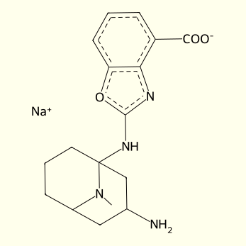 CN1C2CCCC1(Nc1nc3c(C(=O)[O-])cccc3o1)CC(N)C2.[Na+]